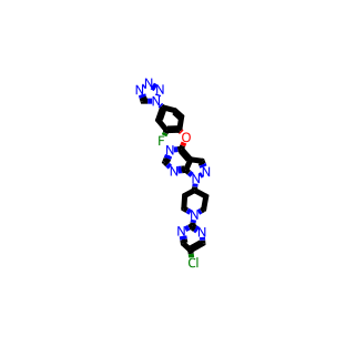 Fc1cc(-n2cnnn2)ccc1Oc1ncnc2c1cnn2C1CCN(c2ncc(Cl)cn2)CC1